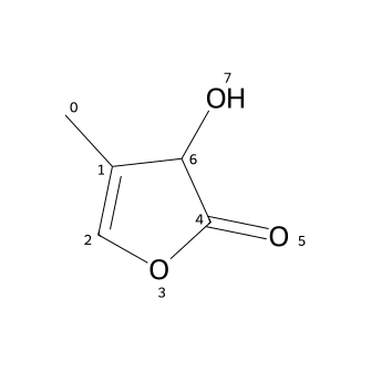 CC1=COC(=O)C1O